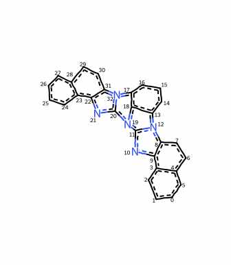 c1ccc2c(c1)ccc1c2nc2n1c1cccc3c1n2c1nc2c4ccccc4ccc2n31